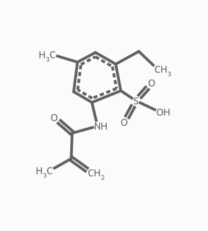 C=C(C)C(=O)Nc1cc(C)cc(CC)c1S(=O)(=O)O